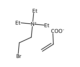 C=CC(=O)[O-].CC[N+](CC)(CC)CCBr